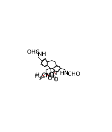 C[C@H](N)CC1(c2nc(=O)on2C)c2ccc(CNC=O)cc2CCc2cc(CNC=O)ccc21